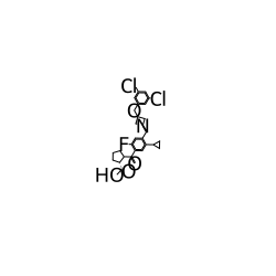 O=C(c1cc(C2CC2)c(CN2CC(Oc3cc(Cl)cc(Cl)c3)C2)cc1F)C1CCC[C@H]1C(=O)O